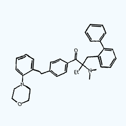 CCC(Cc1ccccc1-c1ccccc1)(C(=O)c1ccc(Cc2ccccc2N2CCOCC2)cc1)N(C)C